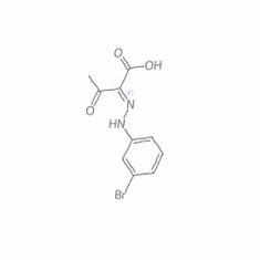 CC(=O)/C(=N\Nc1cccc(Br)c1)C(=O)O